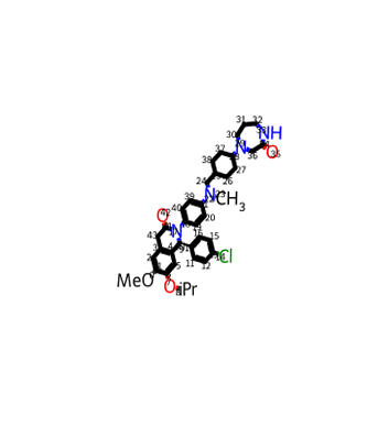 COc1cc2c(cc1OC(C)C)[C@H](c1ccc(Cl)cc1)N(c1ccc(N(C)CC3CCC(N4CCCNC(=O)C4)CC3)cc1)C(=O)C2